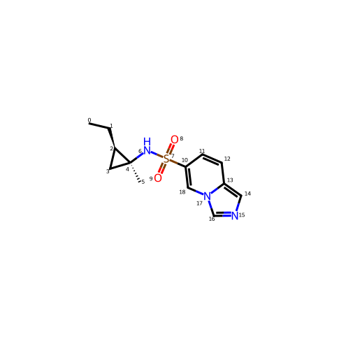 CC[C@@H]1C[C@]1(C)NS(=O)(=O)c1ccc2cncn2c1